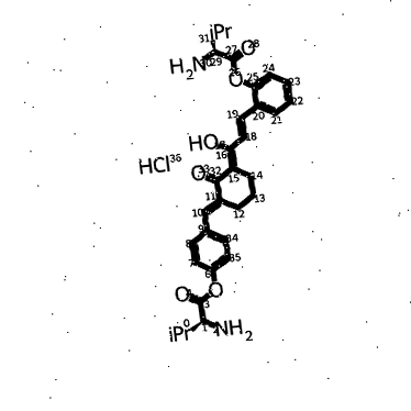 CC(C)[C@H](N)C(=O)Oc1ccc(/C=C2\CCC/C(=C(O)\C=C\c3ccccc3OC(=O)[C@@H](N)C(C)C)C2=O)cc1.Cl